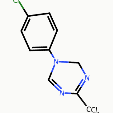 Clc1ccc(N2C=NC(C(Cl)(Cl)Cl)=NC2)cc1